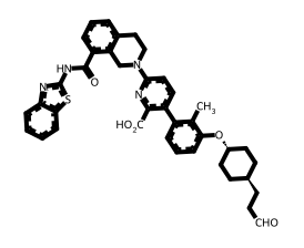 Cc1c(O[C@H]2CC[C@H](CCC=O)CC2)cccc1-c1ccc(N2CCc3cccc(C(=O)Nc4nc5ccccc5s4)c3C2)nc1C(=O)O